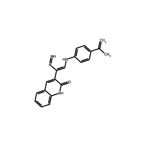 C=C(C)c1ccc(N/C=C(\N=N)c2cc3ccccc3[nH]c2=O)cc1